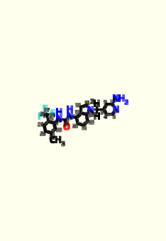 [2H]C([2H])(c1ccnc(N)c1)n1ccc2c(NC(=O)Nc3cc(C)ccc3C(F)(F)F)cccc21